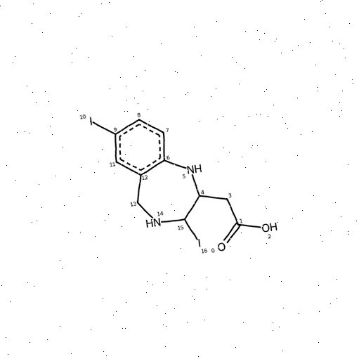 O=C(O)CC1Nc2ccc(I)cc2CNC1I